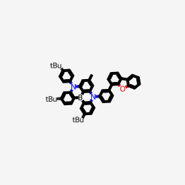 Cc1cc2c3c(c1)N(c1ccc(C(C)(C)C)cc1)c1cc(C(C)(C)C)ccc1B3c1cc(C(C)(C)C)ccc1N2c1cccc(-c2cccc3c2oc2ccccc23)c1